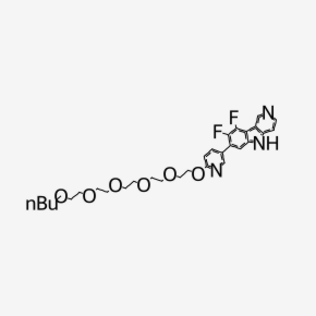 CCCCOCCOCCOCCOCCOCCOc1ccc(-c2cc3[nH]c4ccncc4c3c(F)c2F)cn1